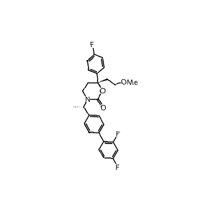 COCC[C@]1(c2ccc(F)cc2)CCN([C@@H](C)c2ccc(-c3ccc(F)cc3F)cc2)C(=O)O1